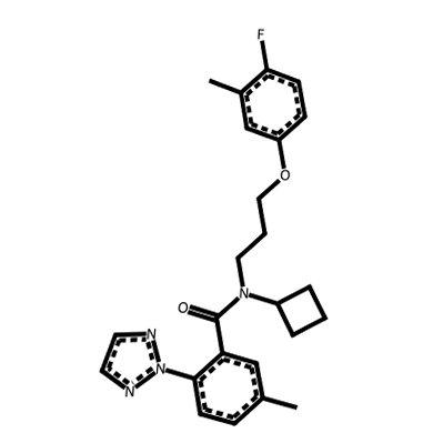 Cc1ccc(-n2nccn2)c(C(=O)N(CCCOc2ccc(F)c(C)c2)C2CCC2)c1